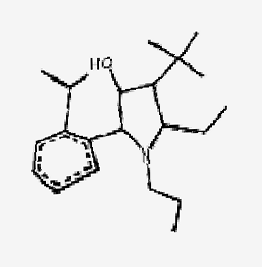 CCCN1C(CC)C(C(C)(C)C)C(O)C1c1ccccc1C(C)C